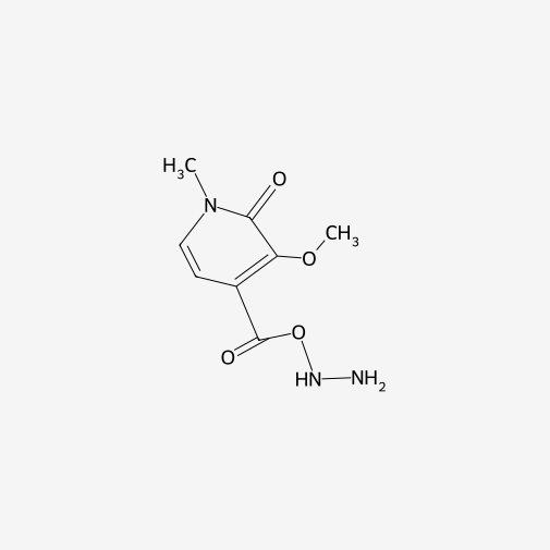 COc1c(C(=O)ONN)ccn(C)c1=O